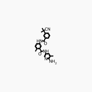 Cc1ccc(NC(=O)c2cccc(C(C)(C)C#N)c2)cc1C(=O)Nc1cnc(N)c(C)c1